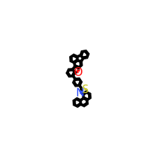 c1ccc2c(c1)-c1cccc3c1c-2cc1oc2c(-c4ccc(-c5nc6c(ccc7ccc8ccccc8c76)s5)cc4)cccc2c13